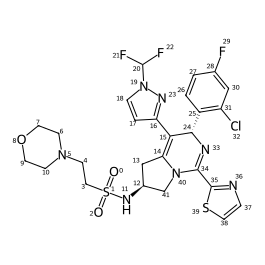 O=S(=O)(CCN1CCOCC1)N[C@H]1CC2=C(c3ccn(C(F)F)n3)[C@H](c3ccc(F)cc3Cl)N=C(c3nccs3)N2C1